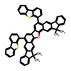 CC1(C)c2ccccc2-c2cc3c(-c4cccc5c4sc4ccccc45)cc4c5cc(-c6cccc7c6sc6ccccc67)c6cc7c(cc6c5oc4c3cc21)C(C)(C)c1ccccc1-7